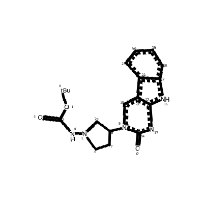 CC(C)(C)OC(=O)NN1CCC(n2cc3c(nc2=O)[nH]c2ccccc23)C1